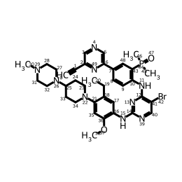 C#Cc1cncc(-c2ccc(Nc3nc(Nc4cc(CC)c(N5CCC(N6CCN(C)CC6)CC5)cc4OC)ncc3Br)c(P(C)(C)=O)c2)n1